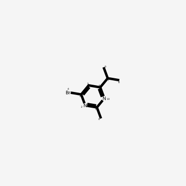 Cc1nc(Br)cc(C(C)C)n1